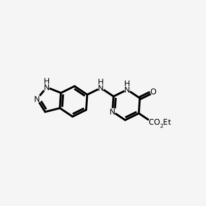 CCOC(=O)c1cnc(Nc2ccc3cn[nH]c3c2)[nH]c1=O